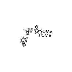 COc1cc2c(cc1OC)C(=O)N(CCCN(C)CCCc1ccc[n+]([O-])c1)C2